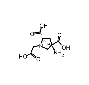 N[C@]1(C(=O)O)C[C@@H](C(=O)O)N(CC(=O)O)C1